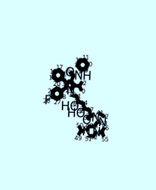 CC(C)c1c(C(=O)Nc2ccccc2)c(-c2ccccc2)c(-c2ccc(F)cc2)n1CC[C@@H](O)C[C@@H](O)CC(=O)N1CCN=C1C1CN(C(C)C)CCN1C(C)C